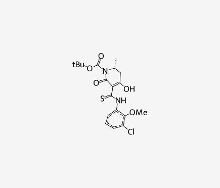 COc1c(Cl)cccc1NC(=S)C1=C(O)C[C@@H](C)N(C(=O)OC(C)(C)C)C1=O